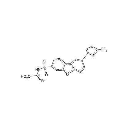 CC(C)[C@H](NS(=O)(=O)c1ccc2c(c1)oc1ccc(-c3ccc(C(F)(F)F)s3)cc12)C(=O)O